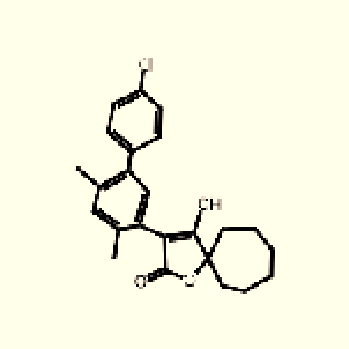 Cc1cc(C)c(-c2ccc(Cl)cc2)cc1C1=C(O)C2(CCCCCC2)OC1=O